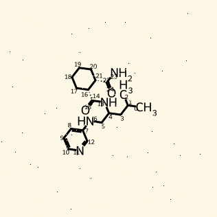 CC(C)CC(CNc1cccnc1)NC(=O)[C@@H]1CCCC[C@@H]1C(N)=O